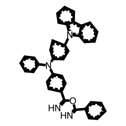 N=C(OC(=N)c1ccc(N(c2ccccc2)c2ccc(-n3c4ccccc4c4ccccc43)cc2)cc1)c1ccccc1